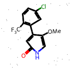 COc1c[nH]c(=O)cc1-c1cc(Cl)ccc1C(F)(F)F